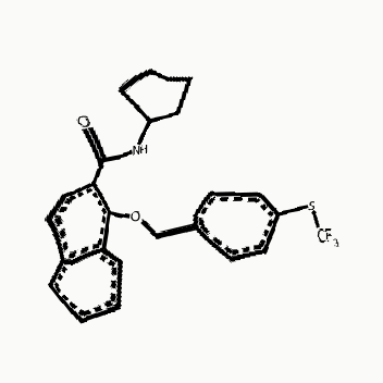 O=C(NC1CCCC1)c1ccc2ccccc2c1OCc1ccc(SC(F)(F)F)cc1